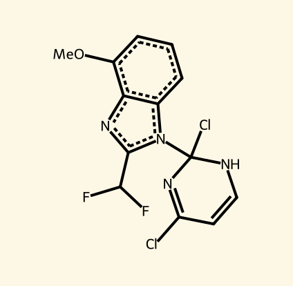 COc1cccc2c1nc(C(F)F)n2C1(Cl)N=C(Cl)C=CN1